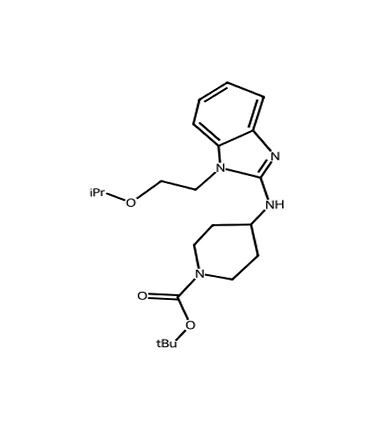 CC(C)OCCn1c(NC2CCN(C(=O)OC(C)(C)C)CC2)nc2ccccc21